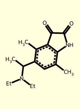 CCN(CC)C(C)c1cc(C)c2c(c1C)C(=O)C(=O)N2